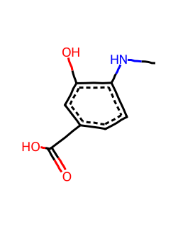 CNc1ccc(C(=O)O)cc1O